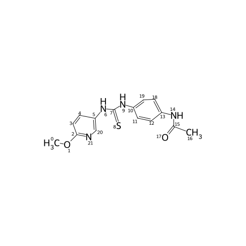 COc1ccc(NC(=S)Nc2ccc(NC(C)=O)cc2)cn1